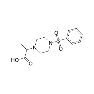 CC(C(=O)O)N1CCN(S(=O)(=O)c2ccccc2)CC1